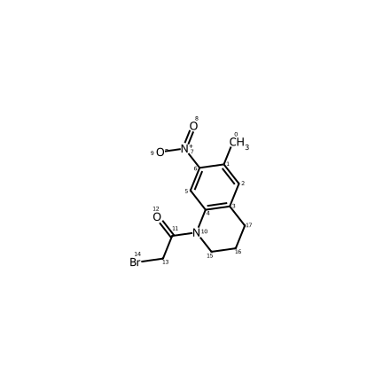 Cc1cc2c(cc1[N+](=O)[O-])N(C(=O)CBr)CCC2